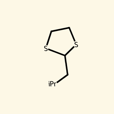 CC(C)CC1SCCS1